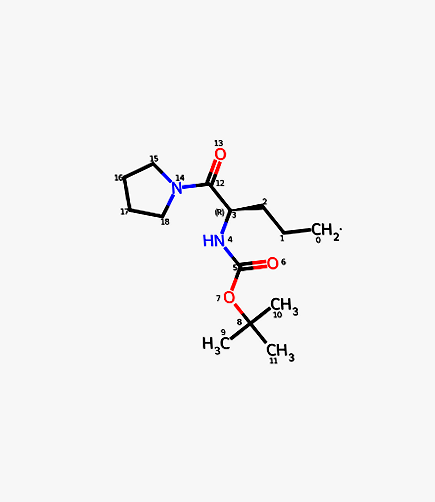 [CH2]CC[C@@H](NC(=O)OC(C)(C)C)C(=O)N1CCCC1